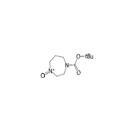 CC(C)(C)OC(=O)N1CCC[N+](=O)CC1